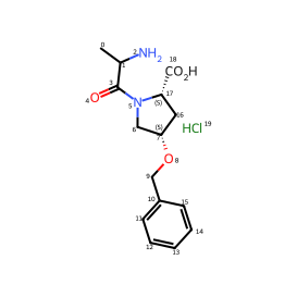 CC(N)C(=O)N1C[C@@H](OCc2ccccc2)C[C@H]1C(=O)O.Cl